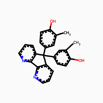 Cc1cc(C2(c3ccc(O)c(C)c3)c3cccnc3-c3ncccc32)ccc1O